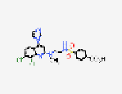 CN(CCNS(=O)(=O)c1ccc(C(=O)O)cc1)c1cc(-n2ccnc2)c2ccc(Cl)c(Cl)c2n1